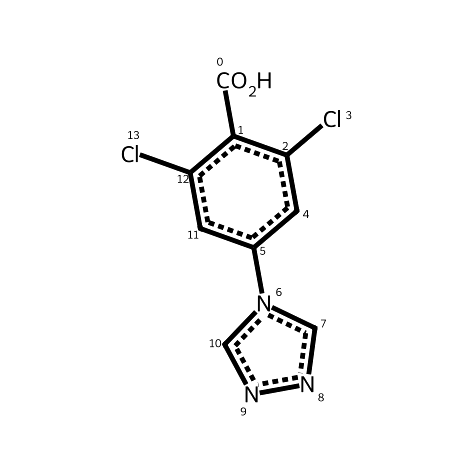 O=C(O)c1c(Cl)cc(-n2cnnc2)cc1Cl